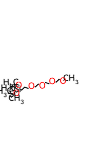 COCCOCCOCCOCCC[Si](C)(OC)O[SiH](C)C